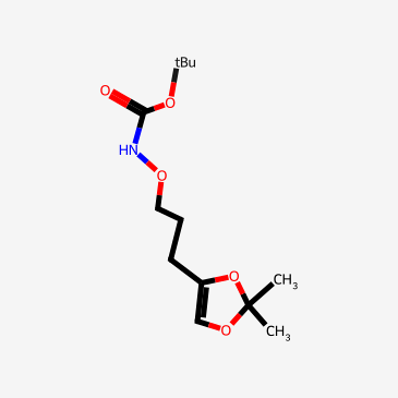 CC(C)(C)OC(=O)NOCCCC1=COC(C)(C)O1